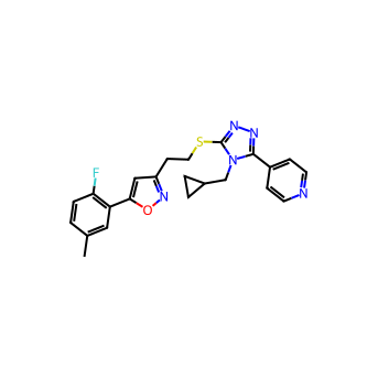 Cc1ccc(F)c(-c2cc(CCSc3nnc(-c4ccncc4)n3CC3CC3)no2)c1